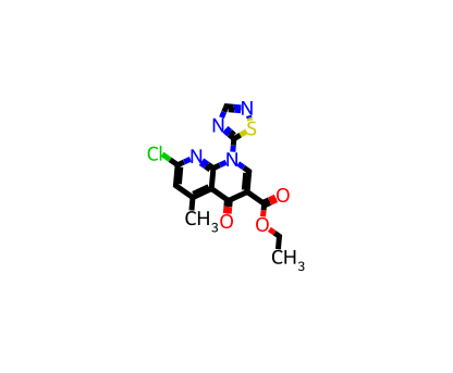 CCOC(=O)c1cn(-c2ncns2)c2nc(Cl)cc(C)c2c1=O